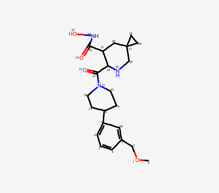 COCc1cccc(C2CCN(C(=O)C3NCC4(CC4)CC3C(=O)NO)CC2)c1